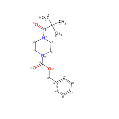 CC(C)(C(=O)O)C(=O)N1CCN(C(=O)OCc2ccccc2)CC1